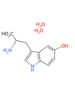 NC(Cc1c[nH]c2ccc(O)cc12)C(=O)O.O.O